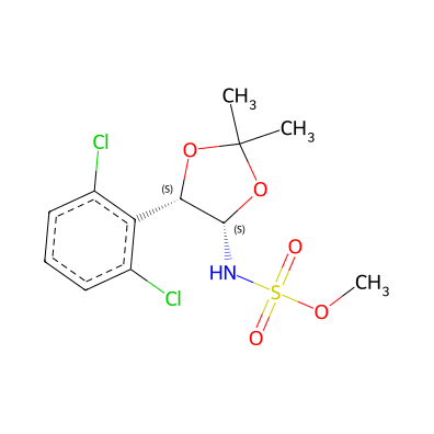 COS(=O)(=O)N[C@H]1OC(C)(C)O[C@H]1c1c(Cl)cccc1Cl